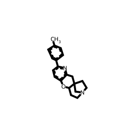 Cc1ccc(-c2ccc3c(n2)CC24CCN(CCC2O3)C4)cc1